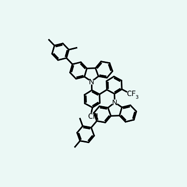 Cc1ccc(-c2ccc3c(c2)c2ccccc2n3-c2ccc(C#N)cc2-c2cccc(C(F)(F)F)c2-n2c3ccccc3c3cc(-c4ccc(C)cc4C)ccc32)c(C)c1